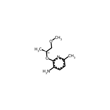 COC[C@H](C)Oc1nc(C)ccc1N